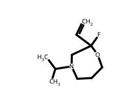 C=CC1(F)CN(C(C)C)CCCO1